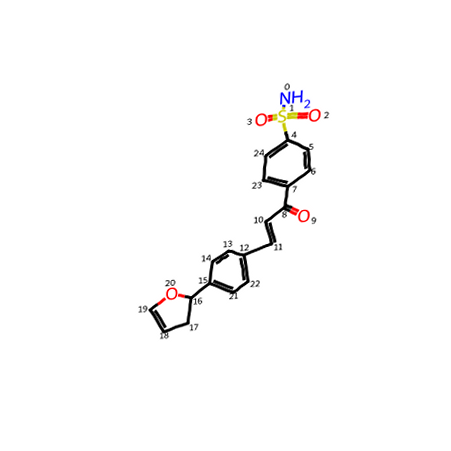 NS(=O)(=O)c1ccc(C(=O)C=Cc2ccc(C3CC=CO3)cc2)cc1